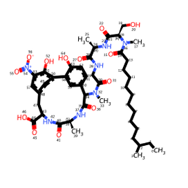 CCC(C)CCCCCCCCCCC(=O)N(C)[C@H](CO)C(=O)N[C@H](C)C(=O)NCC(=O)N(C)C1C(=O)N[C@@H](C)C(=O)NC(C(=O)O)Cc2cc(c(O)c([N+](=O)[O-])c2)-c2cc1ccc2O